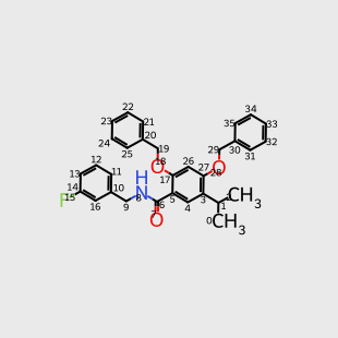 CC(C)c1cc(C(=O)NCc2cccc(F)c2)c(OCc2ccccc2)cc1OCc1ccccc1